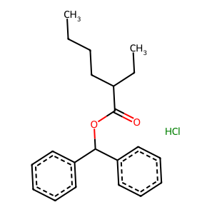 CCCCC(CC)C(=O)OC(c1ccccc1)c1ccccc1.Cl